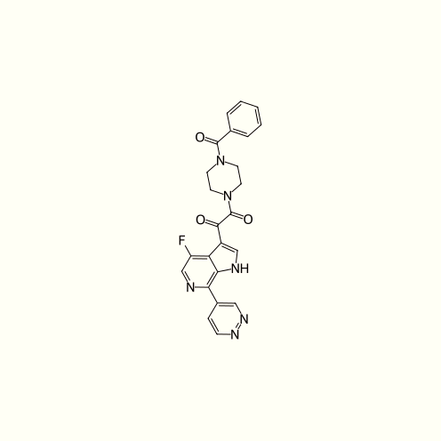 O=C(C(=O)N1CCN(C(=O)c2ccccc2)CC1)c1c[nH]c2c(-c3ccnnc3)ncc(F)c12